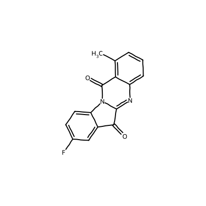 Cc1cccc2nc3n(c(=O)c12)-c1ccc(F)cc1C3=O